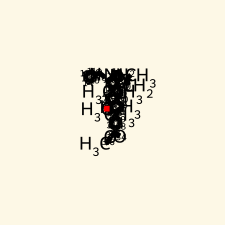 C=C(C)[C@@H]1CC[C@]2(NCCN3CCCCC3)CC[C@]3(C)[C@H](CC[C@@H]4[C@@]5(C)CC=C(C6=CC[C@H](C(=O)OCC)CC6)C(C)(C)[C@@H]5CC[C@]43C)[C@@H]12